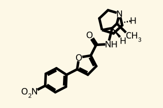 C[C@H]1[C@H](NC(=O)c2ccc(-c3ccc([N+](=O)[O-])cc3)o2)C2CCN1CC2